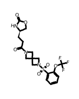 O=C1N[C@H](CCC(=O)N2CC3(C2)CN(S(=O)(=O)c2ccccc2OC(F)(F)F)C3)CO1